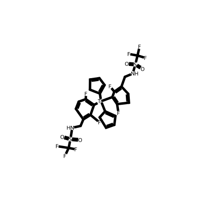 O=S(=O)(NCc1ccc(F)[c]([Ti]([C]2=CC=CC2)([C]2=CC=CC2)[c]2c(F)ccc(CNS(=O)(=O)C(F)(F)F)c2F)c1F)C(F)(F)F